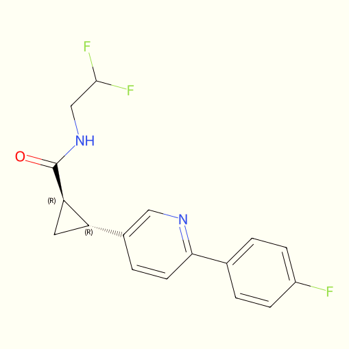 O=C(NCC(F)F)[C@@H]1C[C@H]1c1ccc(-c2ccc(F)cc2)nc1